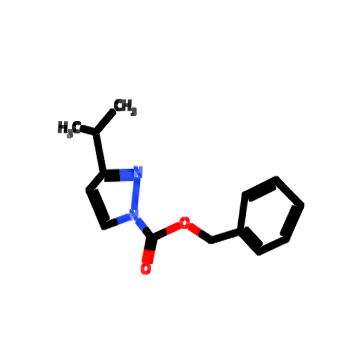 CC(C)c1ccn(C(=O)OCc2ccccc2)n1